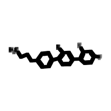 CCCCc1ccc(-c2ccc(-c3ccc(F)cc3F)cc2F)cc1